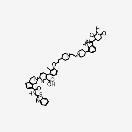 Cc1c(OCCC2CCN(CCN3CCC(c4cccc5c(C6CCC(=O)NC6=O)nn(C)c45)CC3)CC2)cccc1-c1ccc(N2CCc3cccc(C(=O)Nc4nc5ccccc5s4)c3C2)nc1C(=O)O